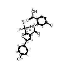 O=C(O)c1ccc(Cl)cc1NC(=O)c1cc(-c2ccc(Cl)cc2)oc1C(F)(F)F